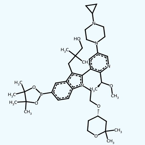 CO[C@@H](C)c1ncc(N2CCN(C3CC3)CC2)cc1-c1c(CC(C)(C)CO)c2cc(B3OC(C)(C)C(C)(C)O3)ccc2n1CCO[C@H]1CCOC(C)(C)C1